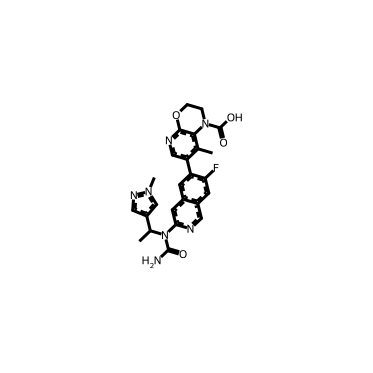 Cc1c(-c2cc3cc(N(C(N)=O)C(C)c4cnn(C)c4)ncc3cc2F)cnc2c1N(C(=O)O)CCO2